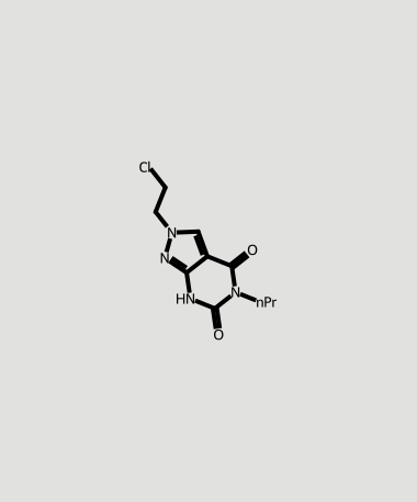 CCCn1c(=O)[nH]c2nn(CCCl)cc2c1=O